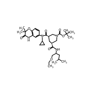 CCOCC(CC(C)C)NC(=O)[C@H]1C[C@@H](C(=O)N(c2ccc3c(c2)NC(=O)C(C)(C)O3)C2CC2)CN(C(=O)OC(C)(C)C)C1